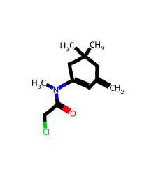 C=C1C=C(N(C)C(=O)CCl)CC(C)(C)C1